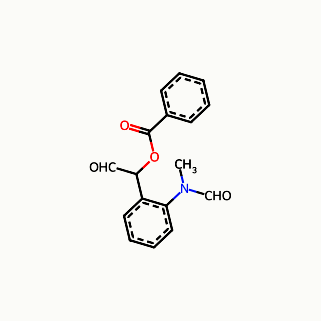 CN(C=O)c1ccccc1C(C=O)OC(=O)c1ccccc1